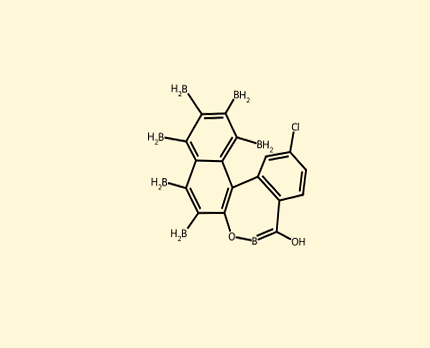 Bc1c(B)c(B)c2c3c(c(B)c(B)c2c1B)OB=C(O)c1ccc(Cl)cc1-3